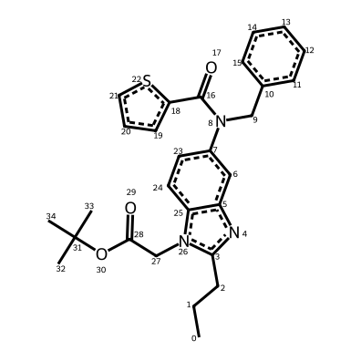 CCCc1nc2cc(N(Cc3ccccc3)C(=O)c3cccs3)ccc2n1CC(=O)OC(C)(C)C